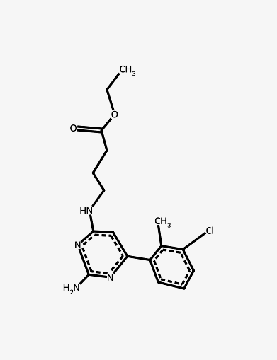 CCOC(=O)CCCNc1cc(-c2cccc(Cl)c2C)nc(N)n1